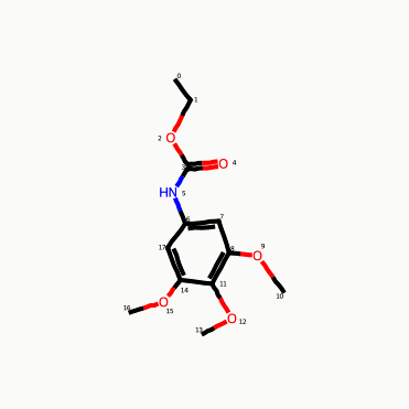 CCOC(=O)Nc1cc(OC)c(OC)c(OC)c1